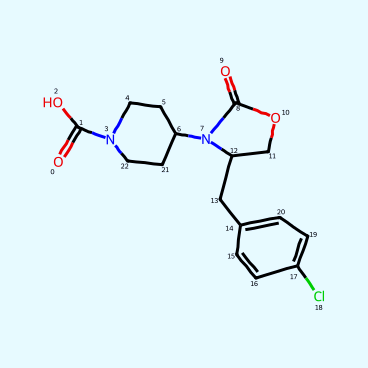 O=C(O)N1CCC(N2C(=O)OCC2Cc2ccc(Cl)cc2)CC1